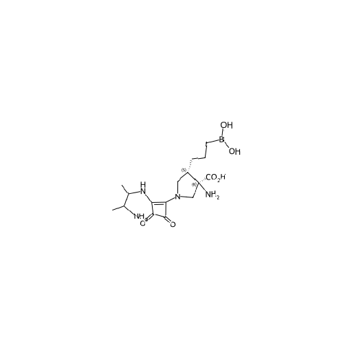 CC(N)C(C)Nc1c(N2C[C@H](CCCB(O)O)[C@](N)(C(=O)O)C2)c(=O)c1=O